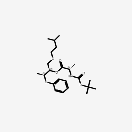 CC(C)CCOC[C@@H](OC(=O)[C@H](C)NC(=O)OC(C)(C)C)[C@H](C)Oc1ccccc1